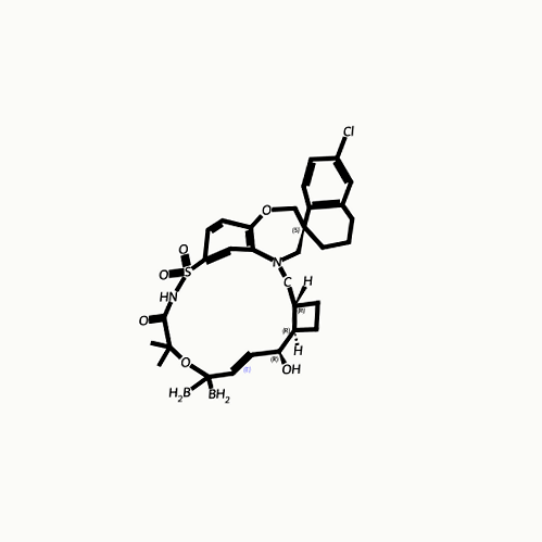 BC1(B)/C=C/[C@H](O)[C@@H]2CC[C@H]2CN2C[C@@]3(CCCc4cc(Cl)ccc43)COc3ccc(cc32)S(=O)(=O)NC(=O)C(C)(C)O1